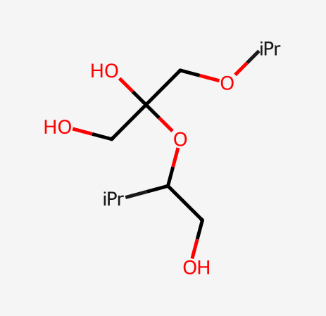 CC(C)OCC(O)(CO)OC(CO)C(C)C